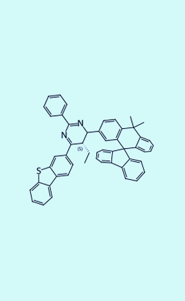 CC[C@@H]1C(c2ccc3c(c2)sc2ccccc23)=NC(c2ccccc2)=NC1c1ccc2c(c1)C1(c3ccccc3-c3ccccc31)c1ccccc1C2(C)C